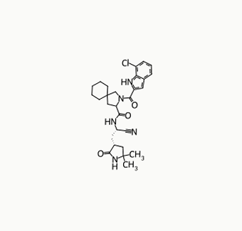 CC1(C)C[C@@H](C[C@@H](C#N)NC(=O)C2CC3(CCCCC3)CN2C(=O)c2cc3cccc(Cl)c3[nH]2)C(=O)N1